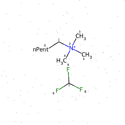 CCCCCC[N+](C)(C)C.FC(F)F